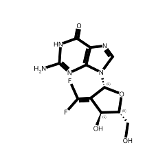 Nc1nc2c(ncn2[C@@H]2O[C@H](CO)[C@@H](O)C2=C(F)F)c(=O)[nH]1